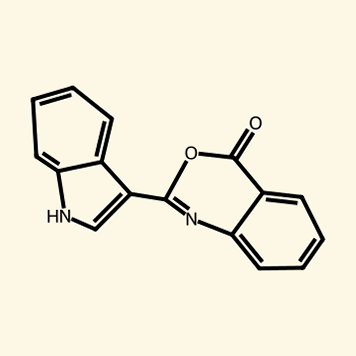 O=c1oc(-c2c[nH]c3ccccc23)nc2ccccc12